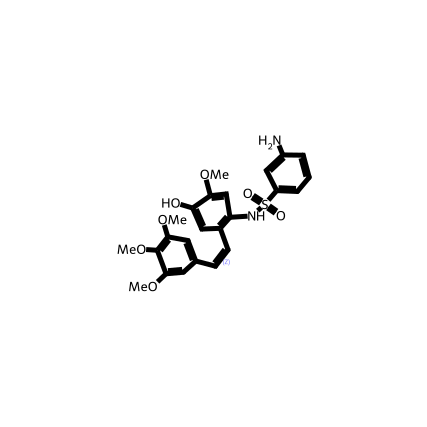 COc1cc(NS(=O)(=O)c2cccc(N)c2)c(/C=C\c2cc(OC)c(OC)c(OC)c2)cc1O